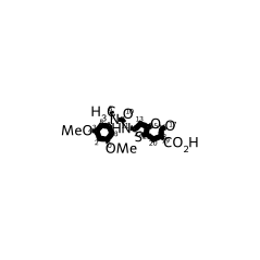 COc1cc(OC)cc(N(C)C(=O)Nc2cc3oc(=O)c(C(=O)O)cc3s2)c1